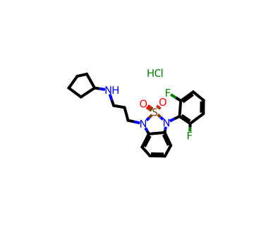 Cl.O=S1(=O)N(CCCNC2CCCC2)c2ccccc2N1c1c(F)cccc1F